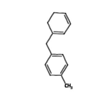 Cc1ccc(CC2=CC=CCC2)cc1